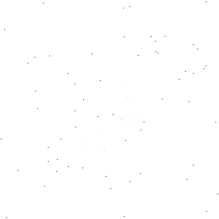 C=C1N(Cc2c(C)cc(F)cc2F)c2cc(C(=O)OC)ccc2C(C)N1C